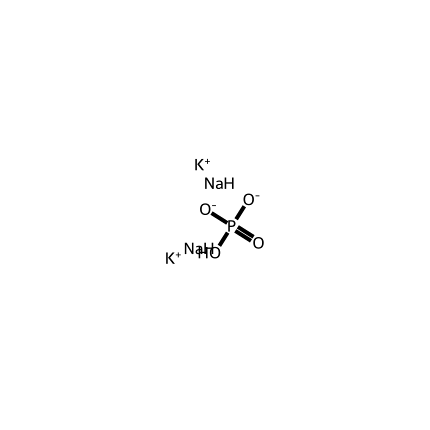 O=P([O-])([O-])O.[K+].[K+].[NaH].[NaH]